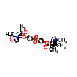 C=C1CCCN1C(C)CC(C)(C)C(=O)Oc1ccc(S(=O)(=O)c2ccc(OC(=O)C(C)(C)CC(C)N3CCCC3=O)cc2)cc1